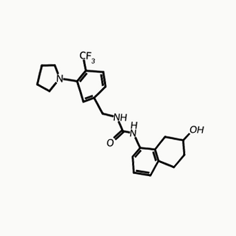 O=C(NCc1ccc(C(F)(F)F)c(N2CCCC2)c1)Nc1cccc2c1CC(O)CC2